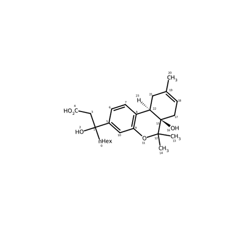 CCCCCCC(O)(CC(=O)O)c1ccc2c(c1)OC(C)(C)[C@@]1(O)CC=C(C)C[C@H]21